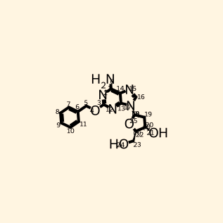 Nc1nc(OCc2ccccc2)nc2c1ncn2[C@H]1C[C@@H](O)[C@@H](CO)O1